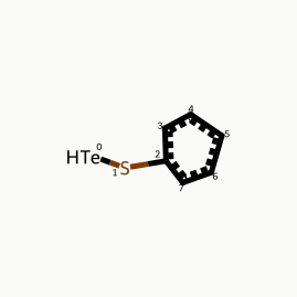 [TeH]Sc1ccccc1